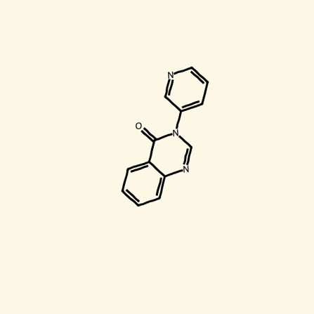 O=c1c2ccccc2ncn1-c1cccnc1